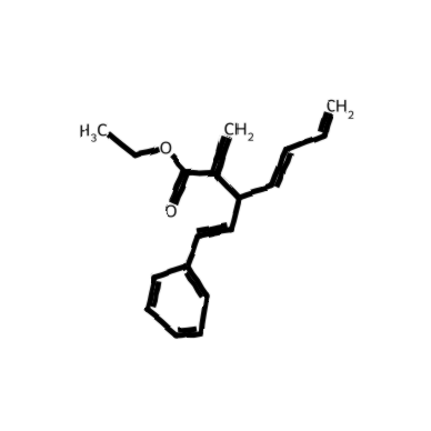 C=CC=CC(C=Cc1ccccc1)C(=C)C(=O)OCC